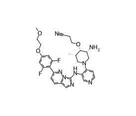 COCCOc1cc(F)c(-c2ccc3cnc(Nc4cnccc4N4C[C@@H](N)[C@@H](OCCC#N)[C@@H](C)C4)n3n2)c(F)c1